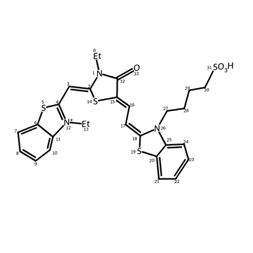 CCn1c(=Cc2sc3ccccc3[n+]2CC)sc(=CC=C2Sc3ccccc3N2CCCCS(=O)(=O)O)c1=O